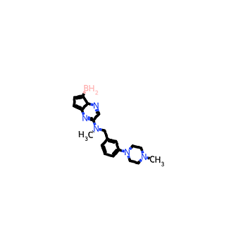 BC1=CC=C2N=C(N(C)Cc3cccc(N4CCN(C)CC4)c3)C=NC12